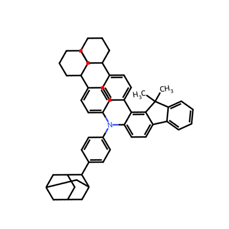 CC1(C)c2ccccc2-c2ccc(N(c3ccc(C4CCCCC4)cc3)c3ccc(C4C5CC6CC(C5)CC4C6)cc3)c(-c3ccc(C4CCCCC4)cc3)c21